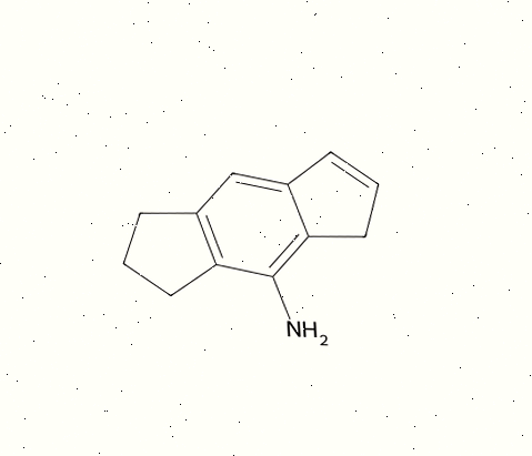 Nc1c2c(cc3c1CCC3)C=CC2